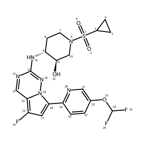 O=S(=O)(C1CC1)N1CC[C@@H](Nc2ncc3c(F)cc(-c4ccc(OC(F)F)cn4)n3n2)[C@H](O)C1